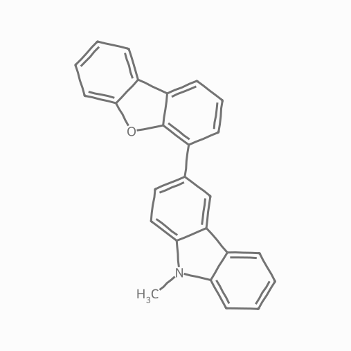 Cn1c2ccccc2c2cc(-c3cccc4c3oc3ccccc34)ccc21